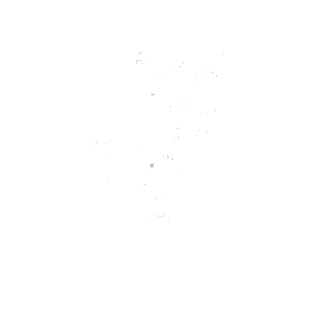 COc1ccc(O)cc1[N+](=O)[O-].COc1ccc(O)cc1[N+](=O)[O-]